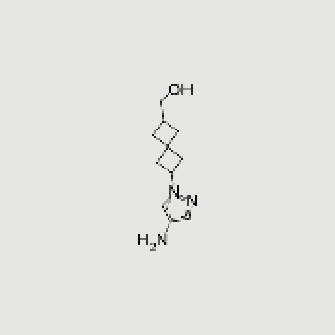 Nc1cnn(C2CC3(CC(CO)C3)C2)c1